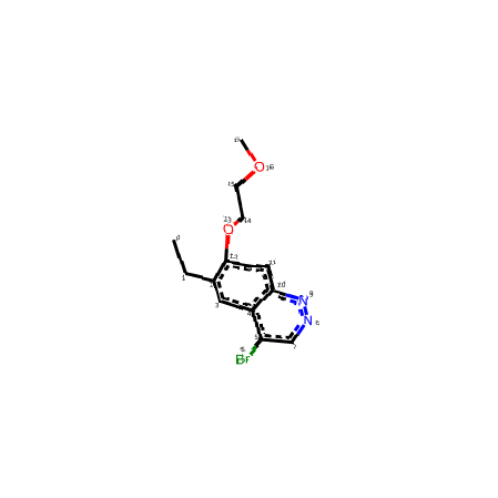 CCc1cc2c(Br)cnnc2cc1OCCOC